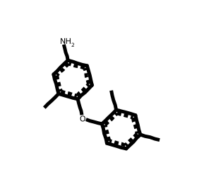 Cc1ccc(Oc2ccc(N)cc2C)c(C)c1